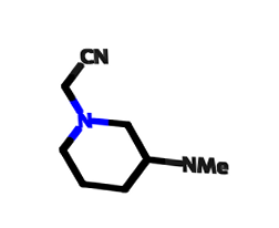 CNC1CCCN(CC#N)C1